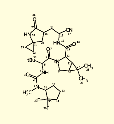 CN(C(=O)NC(C(=O)N1CC2C(C1C(=O)NC(C#N)CC1CC3(CC3)NC1=O)C2(C)C)C(C)(C)C)C1CCCC1(F)F